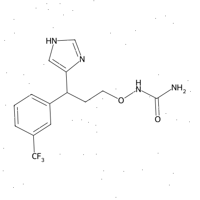 NC(=O)NOCCC(c1cccc(C(F)(F)F)c1)c1c[nH]cn1